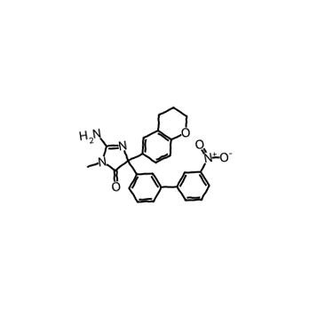 CN1C(=O)C(c2cccc(-c3cccc([N+](=O)[O-])c3)c2)(c2ccc3c(c2)CCCO3)N=C1N